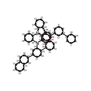 c1ccc(-c2cccc(-c3ccc(N(c4cc(-c5ccc6ccccc6c5)ccc4-c4ccccc4)c4ccccc4-n4c5ccccc5c5ccccc54)cc3)c2)cc1